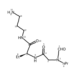 CCCN(C=O)CC(=O)N[C@@H](CC)C(=O)NCCCN